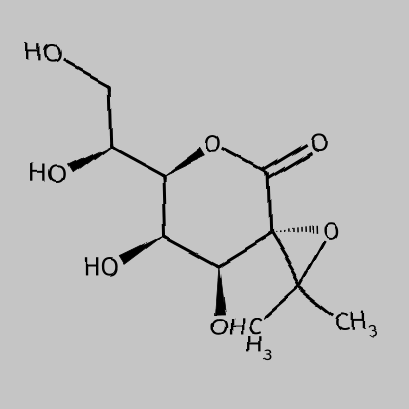 CC1(C)O[C@]12C(=O)O[C@H]([C@@H](O)CO)[C@H](O)[C@@H]2O